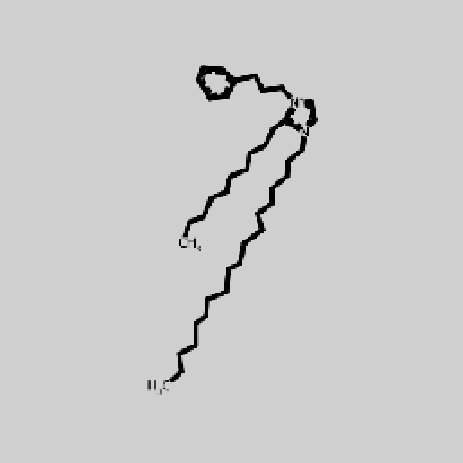 CCCCCCCCCCCCCCCCCCn1cc[n+](CCCc2ccccc2)c1CCCCCCCCCC